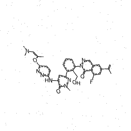 C=C(C)c1cc(F)c2c(=O)n(-c3cccc(-c4cc(Nc5ccc(O/C(C)=C\N(C)C)nn5)c(=O)n(C)n4)c3CO)ncc2c1